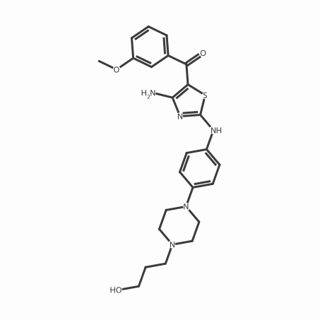 COc1cccc(C(=O)c2sc(Nc3ccc(N4CCN(CCCO)CC4)cc3)nc2N)c1